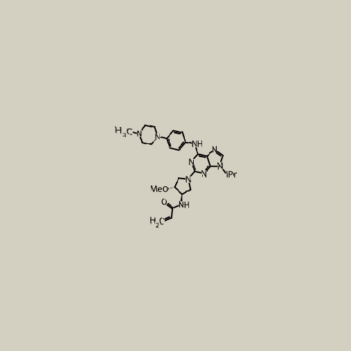 C=CC(=O)N[C@@H]1CN(c2nc(Nc3ccc(N4CCN(C)CC4)cc3)c3ncn(C(C)C)c3n2)C[C@H]1OC